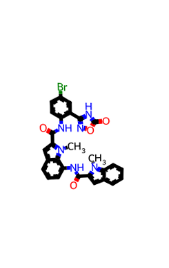 Cn1c(C(=O)Nc2cccc3cc(C(=O)Nc4ccc(Br)cc4-c4noc(=O)[nH]4)n(C)c23)cc2ccccc21